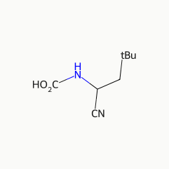 CC(C)(C)CC(C#N)NC(=O)O